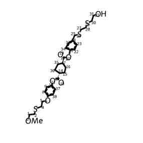 COCCSCCOc1ccc(OC(=O)[C@H]2CC[C@H](C(=O)Oc3ccc(CSCCSCCO)cc3)CC2)cc1